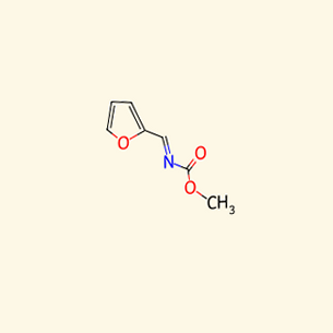 COC(=O)/N=C/c1ccco1